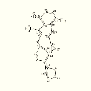 Cc1c(Cc2ccc(-n3cccn3)cc2)c(C2CC2)nc2c(F)ccc([O])c12